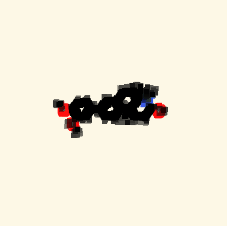 COc1ccc(-c2ccc3c(c2)CC[C@H]2N(C)C(=O)CC[C@]32C)cc1OC